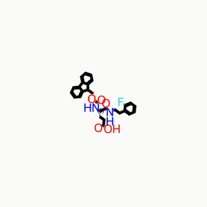 O=C(O)CC[C@H](NC(=O)OCC1c2ccccc2-c2ccccc21)C(=O)NCCc1ccccc1F